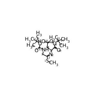 CSC(CNC(=O)OC(C)(C)C)=N[C@@H](CC(=O)O)C(=O)OC(C)(C)C